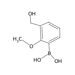 COc1c(CO)cccc1B(O)O